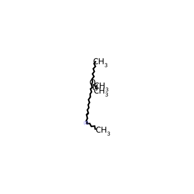 CCCCC/C=C\CC=CCCCCCCCCCC(COCCCCCCCC)N(C)C